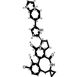 O=C1NC2(CC2)Cc2ccc(Cl)c(F)c2-c2cc(=O)n3c(c21)CC[C@@H]3c1ncc(-c2ccn3ccnc3c2)[nH]1